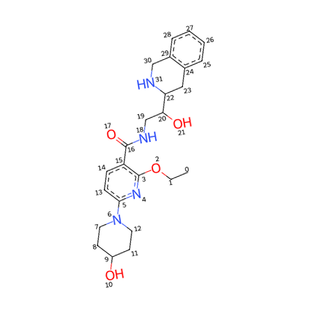 CCOc1nc(N2CCC(O)CC2)ccc1C(=O)NCC(O)C1Cc2ccccc2CN1